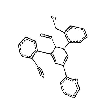 N#Cc1ccccc1C1=CC(c2ccccn2)=CN(c2ccccc2CO)C1C=O